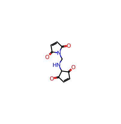 O=C1C=CC(=O)C1NCN1C(=O)C=CC1=O